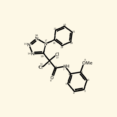 COc1ccccc1NC(=O)C(Cl)(Cl)c1nnnn1-c1ccccc1